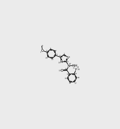 COc1ccc(-c2csc(N(N)C(=O)c3ccccc3F)n2)cc1